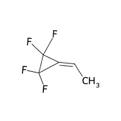 CC=C1C(F)(F)C1(F)F